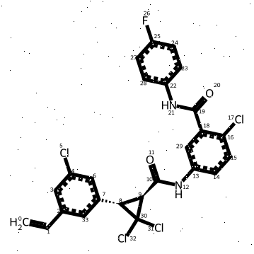 C=Cc1cc(Cl)cc([C@@H]2[C@@H](C(=O)Nc3ccc(Cl)c(C(=O)Nc4ccc(F)cc4)c3)C2(Cl)Cl)c1